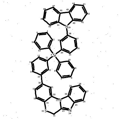 c1ccc([Si](c2ccccc2)(c2cccc(-c3ccc4c(c3)-n3c(nc5ccccc53)CS4)c2)c2cccc(-n3c4ccccc4c4ccccc43)c2)cc1